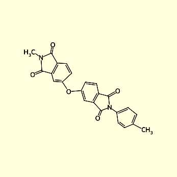 Cc1ccc(N2C(=O)c3ccc(Oc4ccc5c(c4)C(=O)N(C)C5=O)cc3C2=O)cc1